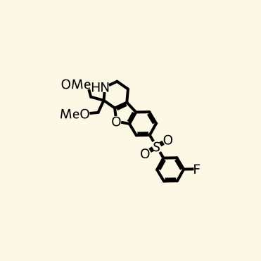 COCC1(COC)NCCc2c1oc1cc(S(=O)(=O)c3cccc(F)c3)ccc21